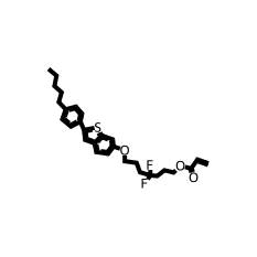 C=CC(=O)OCCCC(F)(F)CCCOc1ccc2cc(-c3ccc(CCCCC)cc3)sc2c1